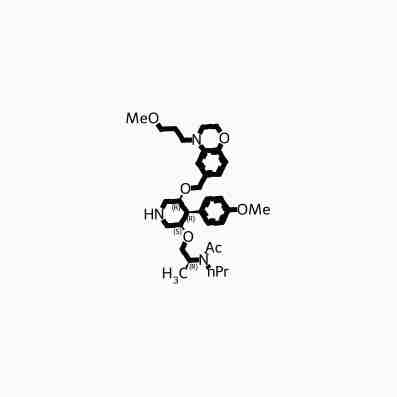 CCCN(C(C)=O)[C@H](C)CO[C@@H]1CNC[C@H](OCc2ccc3c(c2)N(CCCOC)CCO3)[C@H]1c1ccc(OC)cc1